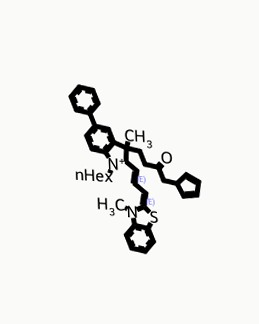 CCCCCC[N+]1=C(/C=C/C=C2/Sc3ccccc3N2C)C(C)(CCC(=O)CC2C=CC=C2)c2cc(-c3ccccc3)ccc21